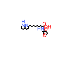 CC1(C(=O)NC(CCCCCCCc2ccc3c(n2)NCCC3)C(=O)O)CCCOC1